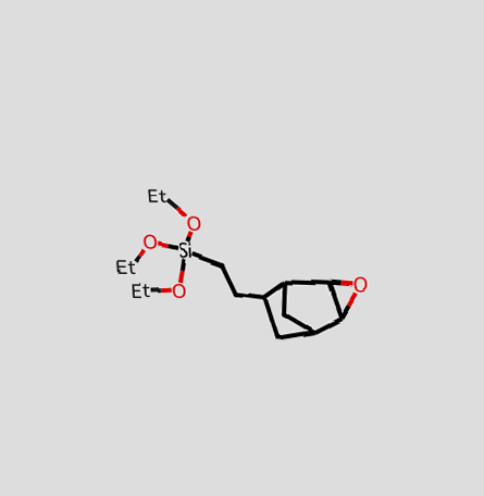 CCO[Si](CCC1CC2CC1C1OC21)(OCC)OCC